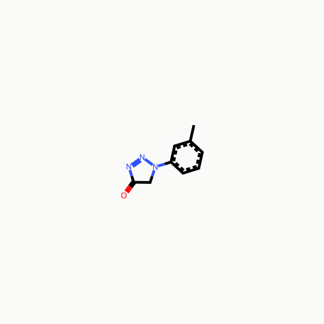 Cc1cccc(N2CC(=O)N=N2)c1